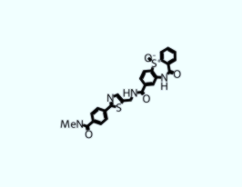 CNC(=O)c1ccc(-c2ncc(CNC(=O)c3ccc4c(c3)NC(=O)c3ccccc3[S+]4[O-])s2)cc1